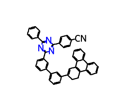 N#Cc1ccc(-c2nc(-c3ccccc3)nc(-c3cccc(-c4cccc(C5=Cc6c(c7ccccc7c7ccccc67)CC5)c4)c3)n2)cc1